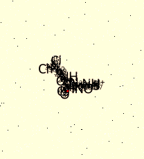 CS(=O)(=O)[O-].Cn1c(-c2cc(NC(=O)CC[S+](C)C)c[nH]2)nc2cc(C(=O)Nc3ccc(N(CCCl)CCCl)cc3)ccc21